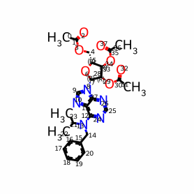 CC(=O)OC[C@H]1O[C@@H](n2cnc3c(N(Cc4ccccc4)C(C)C)ncnc32)[C@H](OC(C)=O)[C@@H]1OC(C)=O